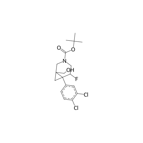 CC(C)(C)OC(=O)N1CC(F)C2(c3ccc(Cl)c(Cl)c3)CC2(CO)C1